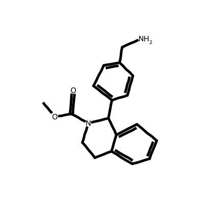 COC(=O)N1CCc2ccccc2C1c1ccc(CN)cc1